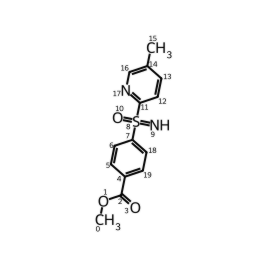 COC(=O)c1ccc(S(=N)(=O)c2ccc(C)cn2)cc1